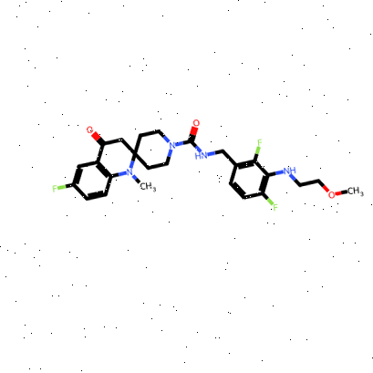 COCCNc1c(F)ccc(CNC(=O)N2CCC3(CC2)CC(=O)c2cc(F)ccc2N3C)c1F